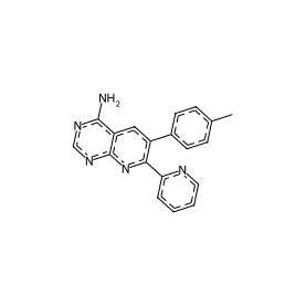 Cc1ccc(-c2cc3c(N)ncnc3nc2-c2ccccn2)cc1